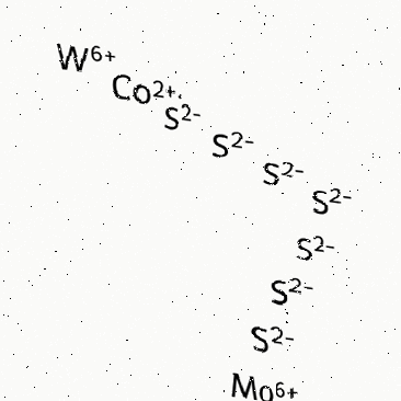 [Co+2].[Mo+6].[S-2].[S-2].[S-2].[S-2].[S-2].[S-2].[S-2].[W+6]